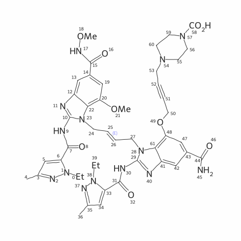 CCn1nc(C)cc1C(=O)Nc1nc2cc(C(=O)NOC)cc(OC)c2n1C/C=C/Cn1c(NC(=O)c2cc(C)nn2CC)nc2cc(C(N)=O)cc(OCC#CCN3CCN(C(=O)O)CC3)c21